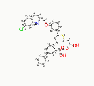 O=C(O)CCSC(CCc1ccc(-c2ccccc2)cc1C(=O)O)c1cccc(OCc2ccc3ccc(Cl)cc3n2)c1